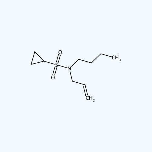 C=CCN(CCCC)S(=O)(=O)C1CC1